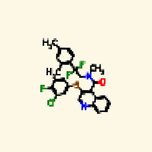 Cc1ccc(C(F)(F)CN(C)C(=O)c2c(Sc3ccc(F)c(Cl)c3)cnc3ccccc23)c(C)c1